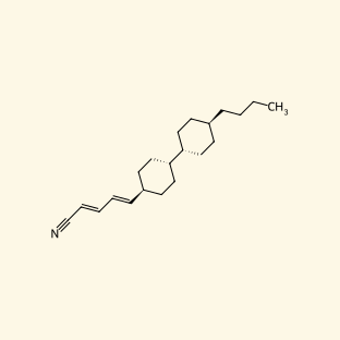 CCCC[C@H]1CC[C@H]([C@H]2CC[C@H](C=CC=CC#N)CC2)CC1